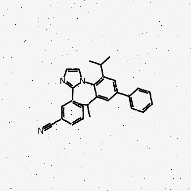 CC(C)c1cc(-c2ccccc2)cc(C(C)C)c1-n1ccnc1-c1cccc(C#N)c1